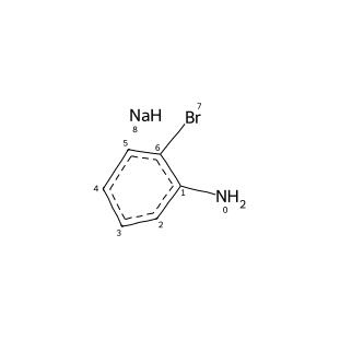 Nc1ccccc1Br.[NaH]